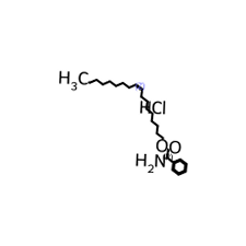 CCCCCCCC/C=C\CCCCCCCCOC(=O)[C@H](N)c1ccccc1.Cl